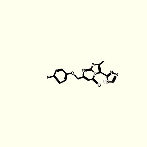 Cc1sc2nc(COc3ccc(F)cc3)cc(=O)n2c1-c1nnc[nH]1